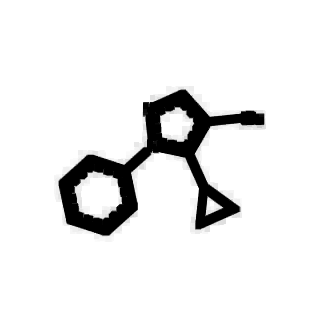 CC(C)(C)c1cnn(-c2ccccc2)c1C1CC1